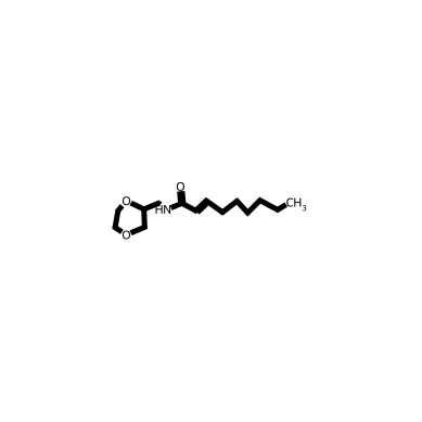 CCCCCCC=CC(=O)NCC1COCCO1